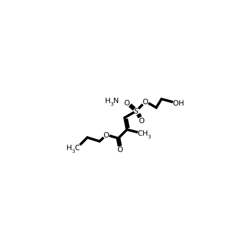 CCCOC(=O)C(C)=CS(=O)(=O)OCCO.N